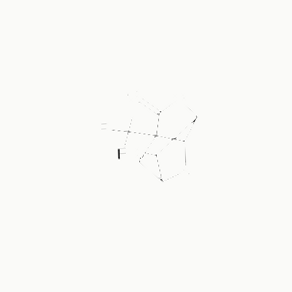 CC1C2CC3(C(F)(F)F)C(=O)OC1C3S2